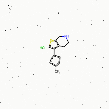 Cl.FC(F)(F)c1ccc(-c2csc3c2CCNC3)cc1